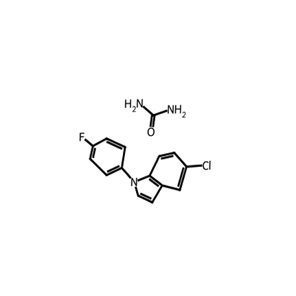 Fc1ccc(-n2ccc3cc(Cl)ccc32)cc1.NC(N)=O